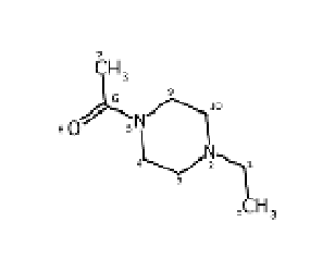 CCN1CCN(C(C)=O)CC1